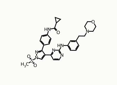 CS(=O)(=O)n1cc(-c2ccnc(Nc3cccc(CCN4CCOCC4)c3)n2)c(-c2ccc(NC(=O)C3CC3)cc2)n1